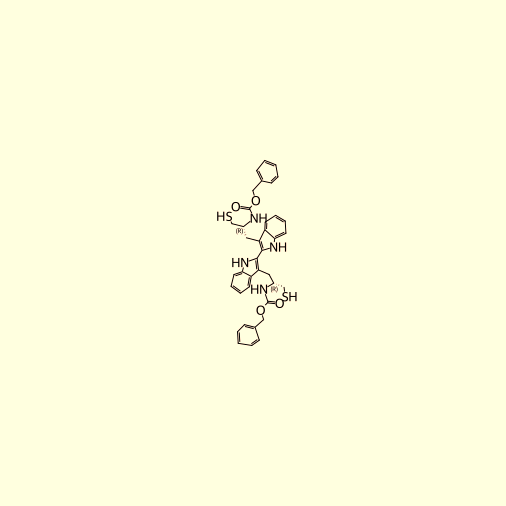 O=C(N[C@@H](CS)Cc1c(-c2[nH]c3ccccc3c2C[C@H](CS)NC(=O)OCc2ccccc2)[nH]c2ccccc12)OCc1ccccc1